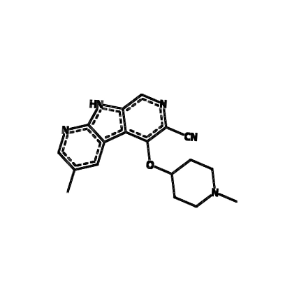 Cc1cnc2[nH]c3cnc(C#N)c(OC4CCN(C)CC4)c3c2c1